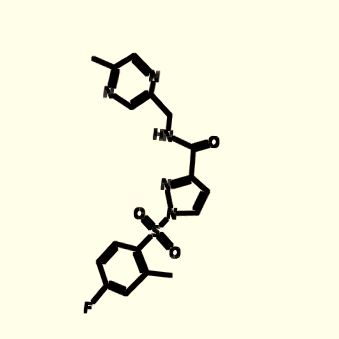 Cc1cnc(CNC(=O)c2ccn(S(=O)(=O)c3ccc(F)cc3C)n2)cn1